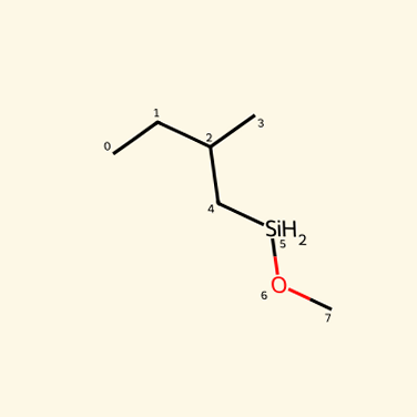 CCC(C)C[SiH2]OC